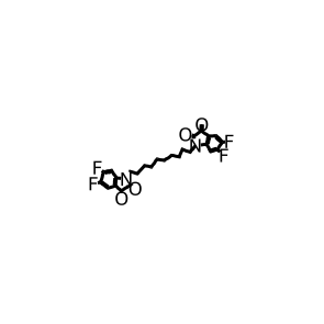 O=C1C(=O)N(CCCCCCCCCCN2C(=O)C(=O)c3cc(F)c(F)cc32)c2cc(F)c(F)cc21